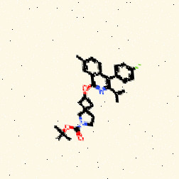 Cc1ccc2c(-c3ccc(F)cc3)c(C(C)C)nc(OC3CC4(CCN(C(=O)OC(C)(C)C)C4)C3)c2c1